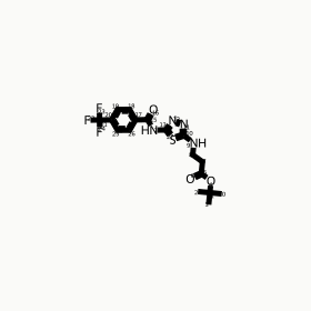 CC(C)(C)OC(=O)CCNc1nnc(NC(=O)c2ccc(C(F)(F)F)cc2)s1